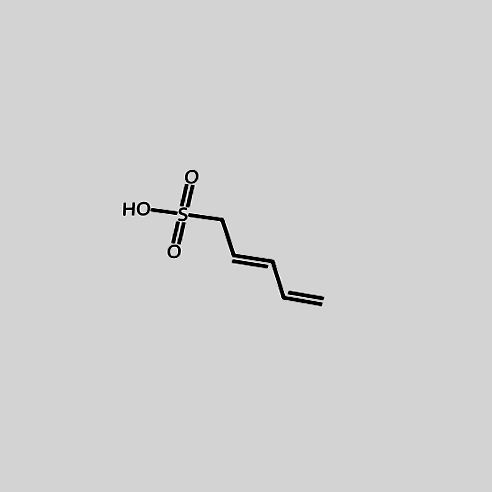 C=CC=CCS(=O)(=O)O